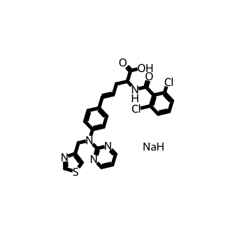 O=C(NC(CC=Cc1ccc(N(Cc2cscn2)c2ncccn2)cc1)C(=O)O)c1c(Cl)cccc1Cl.[NaH]